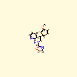 COc1cccc(C(CNC2=NCCO2)c2cccnc2)c1